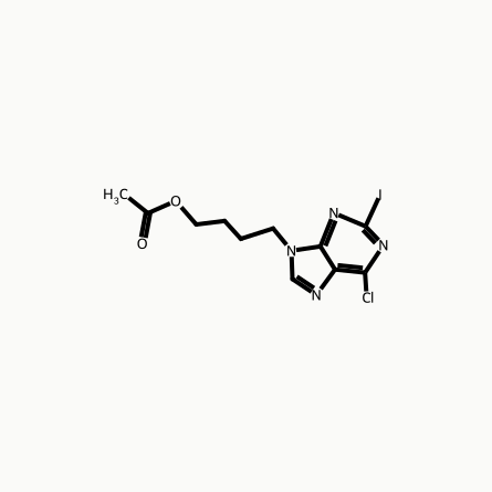 CC(=O)OCCCCn1cnc2c(Cl)nc(I)nc21